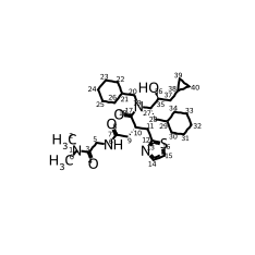 CN(C)C(=O)CNC(=O)C[C@@H](Cc1nccs1)C(=O)N(CC1CCCCC1)[C@@H](CC1CCCCC1)[C@@H](O)CC1CC1